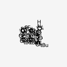 CC(=O)C(C1CCCNC1)S(=O)(=O)C(C)(C)C(=O)Nc1cc(C(C)(C)C)on1.CC(C)(C)S(=O)(=O)C(C)(C)C(=O)Nc1cc(C(F)(F)F)ccn1.CC(C)(C)S(=O)(=O)C(C)(C)C(=O)Nc1cccc(C(F)(F)F)n1